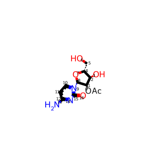 CC(=O)O[C@@H]1[C@H](O)[C@@H](CO)O[C@H]1n1ccc(N)nc1=O